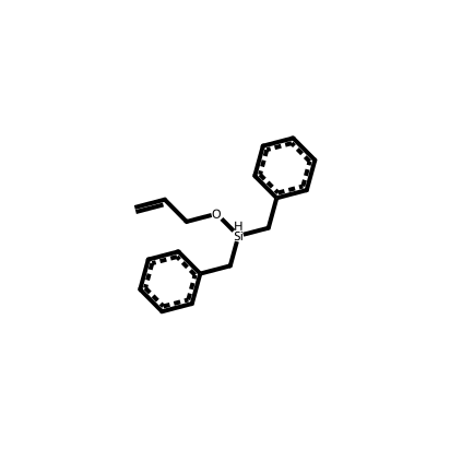 C=CCO[SiH](Cc1ccccc1)Cc1ccccc1